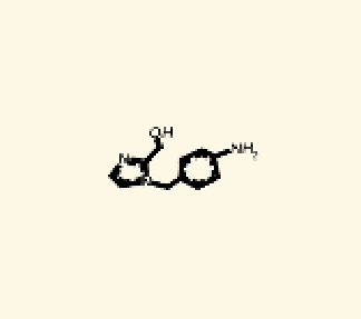 Nc1ccc(Cn2ccnc2CO)cc1